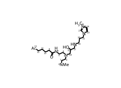 CNCCN(CCNC(=O)CCCCC(C)=O)CC(O)CNCCCn1cc[n+](C)c1